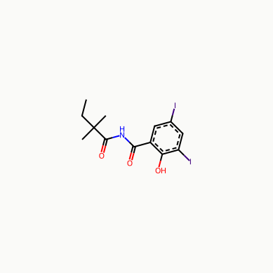 CCC(C)(C)C(=O)NC(=O)c1cc(I)cc(I)c1O